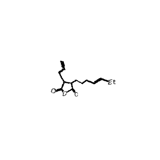 C=CCC1C(=O)OC(=O)C1CCCC=CCC